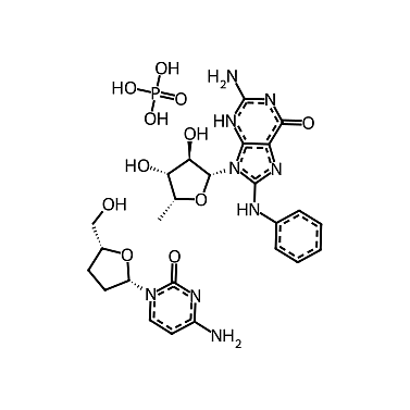 C[C@H]1O[C@@H](n2c(Nc3ccccc3)nc3c(=O)nc(N)[nH]c32)[C@H](O)[C@H]1O.Nc1ccn([C@@H]2CC[C@H](CO)O2)c(=O)n1.O=P(O)(O)O